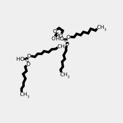 CCCCCCCCOP(O)OCCCCCCCC.CCCCCCCCOP(O)OCCCCCCCC.[O]=[Ti]1[O]CC[O]1